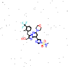 Cc1c(Cc2c(CO)nc3c(-c4cn(S(=O)(=O)N(C)C)cn4)cc(N4CCOCC4)nn23)cccc1C(F)(F)F